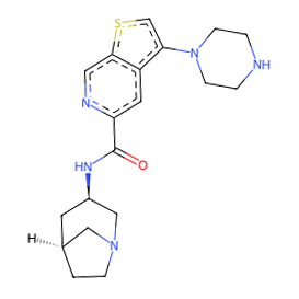 O=C(N[C@@H]1C[C@@H]2CCN(C2)C1)c1cc2c(N3CCNCC3)csc2cn1